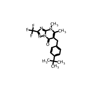 Cc1c(Cc2ccc(C(C)(C)C)cc2)c(=O)n2nc(C(F)(F)F)nc2n1C